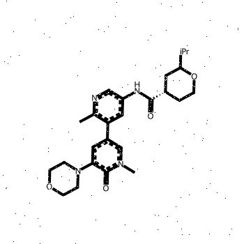 Cc1ncc(NC(=O)[C@H]2CCOC(C(C)C)C2)cc1-c1cc(N2CCOCC2)c(=O)n(C)c1